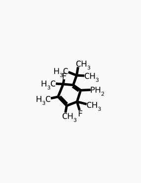 CC1=C(C)C(C)(F)C(C(C)(C)C)=C(P)C1(C)F